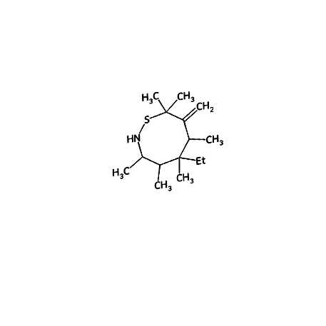 C=C1C(C)C(C)(CC)C(C)C(C)NSC1(C)C